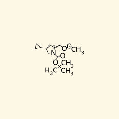 COOC[C@@H]1C=C(C2CC2)CN1C(=O)OC(C)(C)C